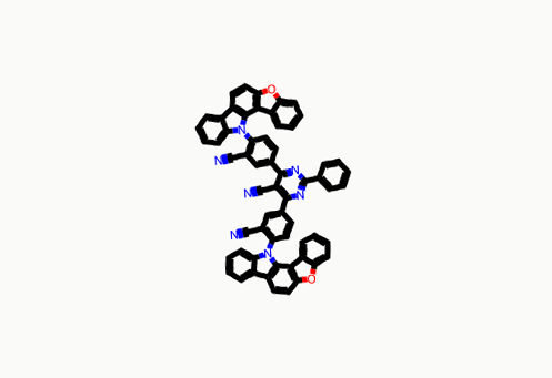 N#Cc1cc(-c2nc(-c3ccccc3)nc(-c3ccc(-n4c5ccccc5c5ccc6oc7ccccc7c6c54)c(C#N)c3)c2C#N)ccc1-n1c2ccccc2c2ccc3oc4ccccc4c3c21